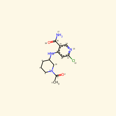 CC(=O)N1CCCC(Nc2cc(Cl)ncc2C(N)=O)C1